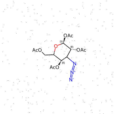 CC(=O)OCC1O[C@@H](OC(C)=O)[C@H](OC(C)=O)C(N=[N+]=[N-])[C@H]1OC(C)=O